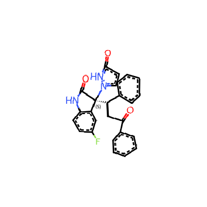 O=C(CC(c1ccccc1)[C@@]1(n2ccc(=O)[nH]2)C(=O)Nc2ccc(F)cc21)c1ccccc1